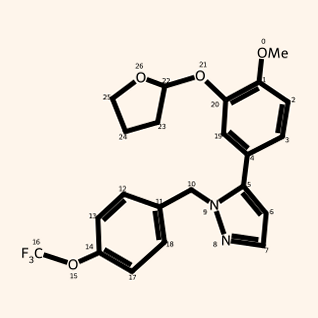 COc1ccc(-c2ccnn2Cc2ccc(OC(F)(F)F)cc2)cc1OC1CCCO1